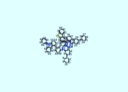 C1=c2c(n(-c3cc(-c4ccccc4)ccc3-c3nc(-c4ccc(-c5ccccc5)cc4)nc(-c4ccc5sc6ccccc6c5c4)n3)c3cccc(-c4cccc5c4c4ccccc4n5-c4ccccc4)c23)=CC(c2ccccc2)C1